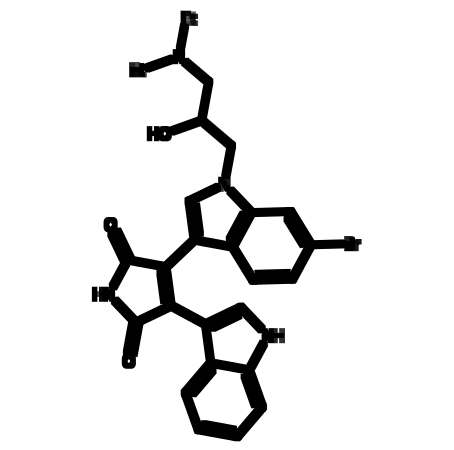 CCN(CC)CC(O)Cn1cc(C2=C(c3c[nH]c4ccccc34)C(=O)NC2=O)c2ccc(Br)cc21